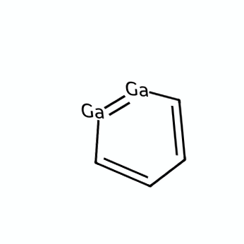 C1=[CH][Ga]=[Ga][CH]=C1